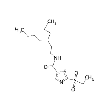 CCCCC(CCC)CCNC(=O)c1cnc(S(=O)(=O)CC)s1